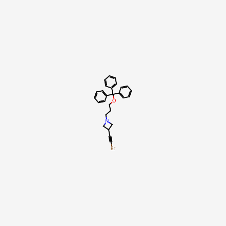 BrC#CC1CN(CCCOC(c2ccccc2)(c2ccccc2)c2ccccc2)C1